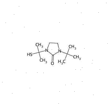 CC(C)(C)N1CCN(C(C)(C)S)C1=O